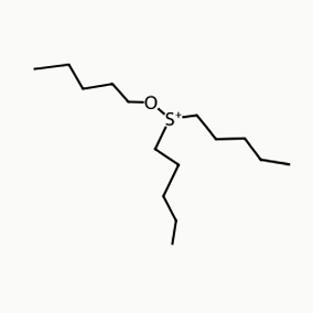 CCCCCO[S+](CCCCC)CCCCC